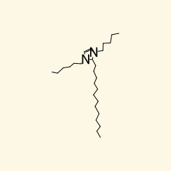 CCCCCCCCCCCCCC1N(CCCCC)C=CN1CCCCCC